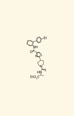 CCOC(=O)C(C)NC(=S)N1CCC(c2nc(C(=O)Nc3ccccc3-c3ccc(CC)cc3)cs2)CC1